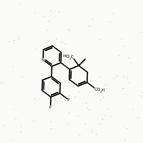 CC1(C(=O)O)CC(C(=O)O)=CC=C1c1cccnc1-c1ccc(F)c(F)c1